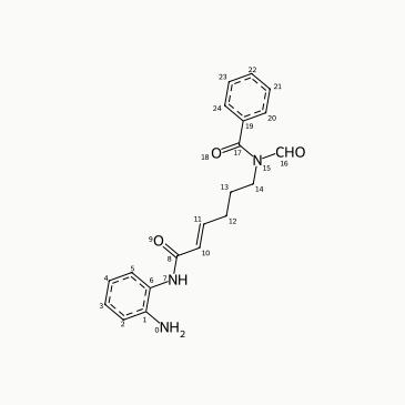 Nc1ccccc1NC(=O)/C=C/CCCN(C=O)C(=O)c1ccccc1